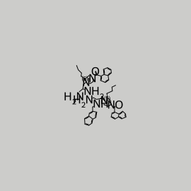 CCCC[C@H]1CN(C(=O)c2cccc3ccccc23)CCN1CC(CN)NCc1ccc2ccccc2c1.CCCC[C@H]1CN(C(=O)c2cccc3ccccc23)CCN1CC(N)CN